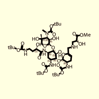 COC(=O)[C@@H](O)CNCC1=CC[C@@H](NC(=O)OC(C)(C)C)[C@@H](O[C@H]2[C@H](O)[C@@H](O[C@H]3OC[C@](C)(O)[C@H](N(C)C(=O)OC(C)(C)C)[C@H]3O)[C@H](NC(=O)[C@@H](O)CCNC(=O)OC(C)(C)C)C[C@@H]2NC(=O)OC(C)(C)C)O1